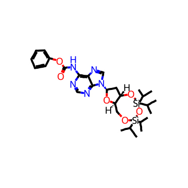 CC(C)[Si]1(C(C)C)OC[C@H]2O[C@@H](n3cnc4c(NC(=O)Oc5ccccc5)ncnc43)C[C@@H]2O[Si](C(C)C)(C(C)C)O1